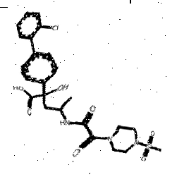 CC(CC(O)(C(=O)O)c1ccc(-c2ccccc2Cl)cc1)NC(=O)C(=O)N1CCN(S(C)(=O)=O)CC1